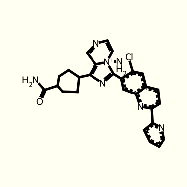 NC(=O)C1CCC(C2=C3C=NC=C[N+]3(N)C(c3cc4nc(-c5ccccn5)ccc4cc3Cl)=N2)CC1